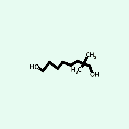 CC(C)(CO)CCCCCCO